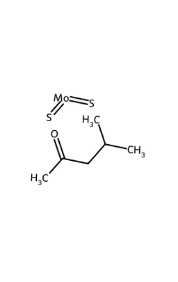 CC(=O)CC(C)C.[S]=[Mo]=[S]